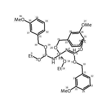 CCOP(N[PH](/N=[PH](/OCC)OCc1cccc(OC)c1)(OCC)OCc1cccc(OC)c1)OCc1cccc(OC)c1